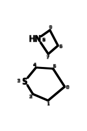 C1CCSCC1.C1CNC1